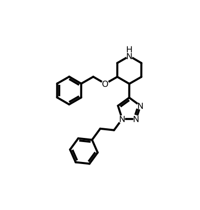 c1ccc(CCn2cc(C3CCNCC3OCc3ccccc3)nn2)cc1